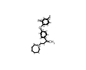 CC(CCN1CCCCCC1)c1ccc(Oc2ccc(F)cc2F)cc1